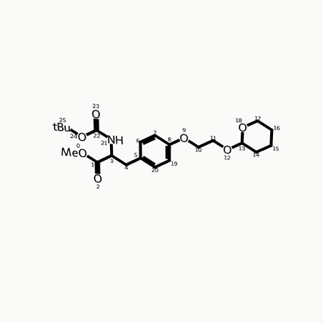 COC(=O)C(Cc1ccc(OCCOC2CCCCO2)cc1)NC(=O)OC(C)(C)C